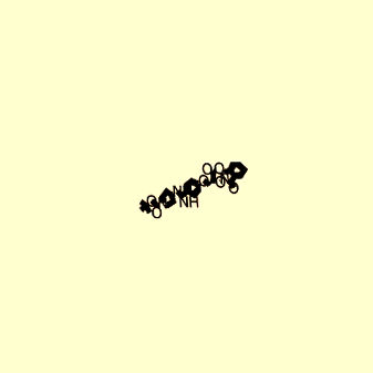 CC(C)(C)OC(=O)N1CCC(NC(=N)c2ccc(OC[C@@H](C=O)ON3C(=O)c4ccccc4C3=O)cc2)CC1